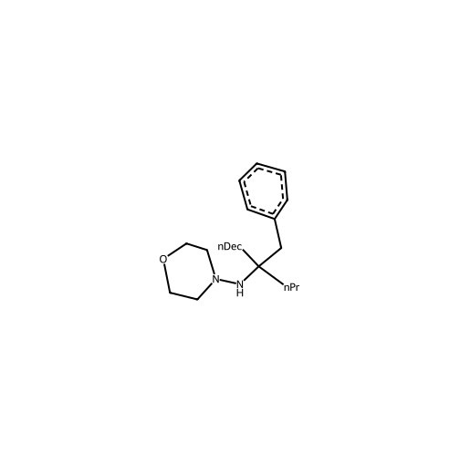 CCCCCCCCCCC(CCC)(Cc1ccccc1)NN1CCOCC1